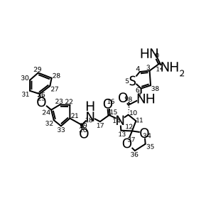 N=C(N)c1csc(NC(=O)[C@@H]2CC3(CN2C(=O)CNC(=O)c2ccc(Oc4ccccc4)cc2)OCCO3)c1